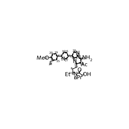 CCCN(C(=O)CO)[C@H](CC)CCc1nc2c(-c3ccc(-c4ccc(OC)c(F)c4)nc3)cnn2c(N)c1C(C)=O